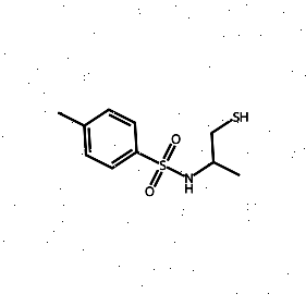 Cc1ccc(S(=O)(=O)NC(C)CS)cc1